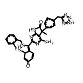 CC1(c2ccc(Cc3nn[nH]n3)cc2)C(=O)Nc2nc(C3=C4C=CC(Cl)=CC4NN3Cc3ccccc3F)nc(N)c21